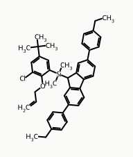 C=CCOc1c(Cl)cc(C(C)(C)C)cc1[Si](C)(C)C1c2cc(-c3ccc(CC)cc3)ccc2-c2ccc(-c3ccc(CC)cc3)cc21